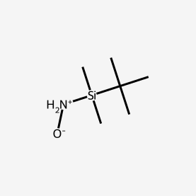 CC(C)(C)[Si](C)(C)[NH2+][O-]